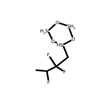 CC(F)C(F)(F)C[SiH]1O[SiH2]O[SiH2]O1